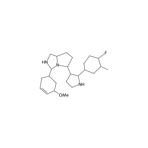 COC1C=CCC(C2NCC3CCC(C4CCNC4C4CCC(F)C(C)C4)N32)C1